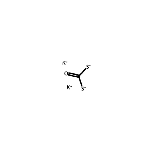 O=C([S-])[S-].[K+].[K+]